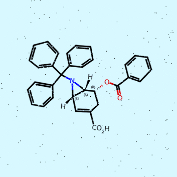 O=C(O)C1=C[C@H]2[C@@H]([C@H](OC(=O)c3ccccc3)C1)N2C(c1ccccc1)(c1ccccc1)c1ccccc1